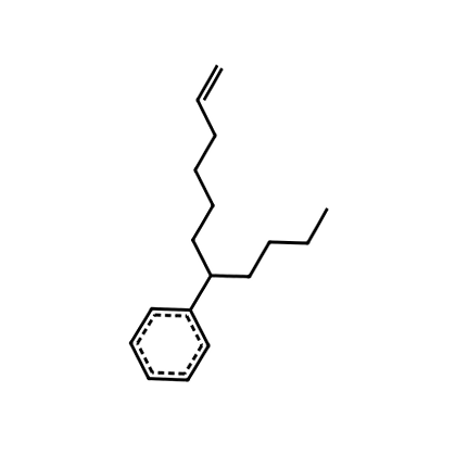 C=CCCCCC(CCCC)c1ccccc1